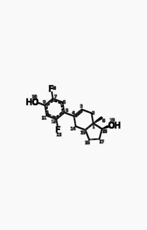 C[C@]12CC=C(c3cc(F)c(O)cc3F)CC1CC[C@@H]2O